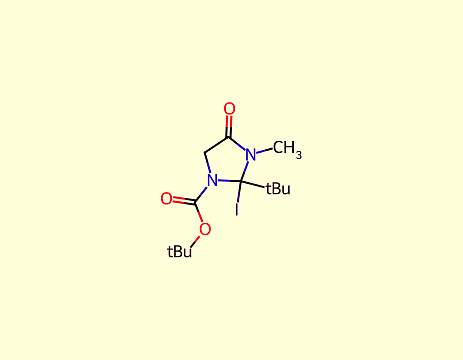 CN1C(=O)CN(C(=O)OC(C)(C)C)C1(I)C(C)(C)C